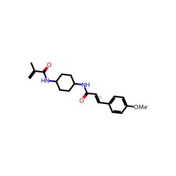 C=C(C)C(=O)NC1CCC(NC(=O)/C=C/c2ccc(OC)cc2)CC1